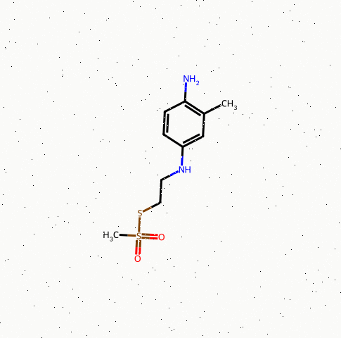 Cc1cc(NCCSS(C)(=O)=O)ccc1N